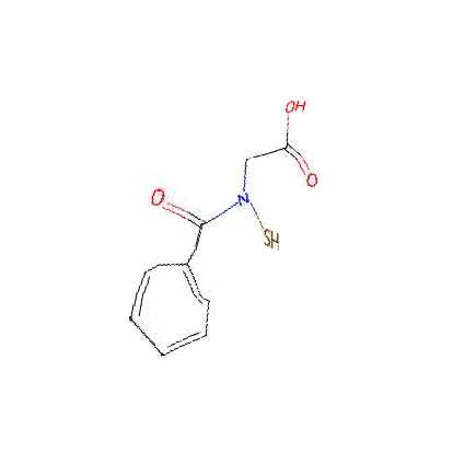 O=C(O)CN(S)C(=O)c1ccccc1